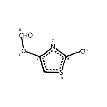 O=COc1csc(Cl)n1